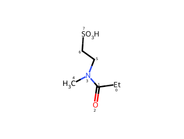 CCC(=O)N(C)CCS(=O)(=O)O